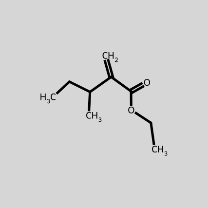 C=C(C(=O)OCC)C(C)CC